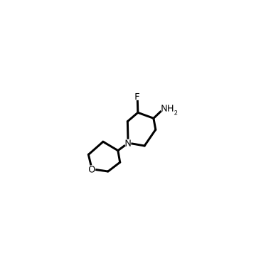 NC1CCN(C2CCOCC2)CC1F